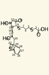 O=C(O)CSCCCSC1C(=O)C[C@@H](O)[C@@H]1C=CC(O)Cc1csc2ccccc12